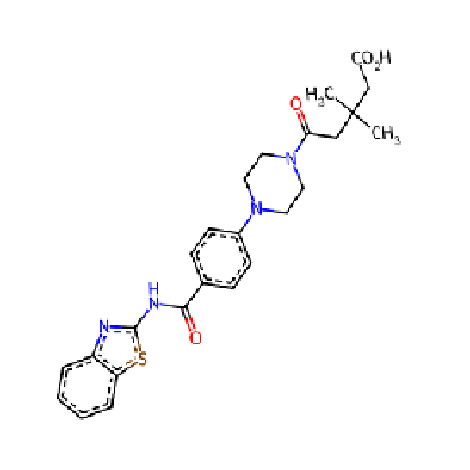 CC(C)(CC(=O)O)CC(=O)N1CCN(c2ccc(C(=O)Nc3nc4ccccc4s3)cc2)CC1